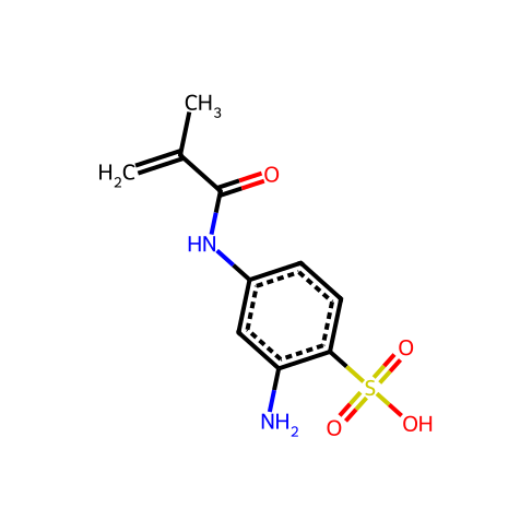 C=C(C)C(=O)Nc1ccc(S(=O)(=O)O)c(N)c1